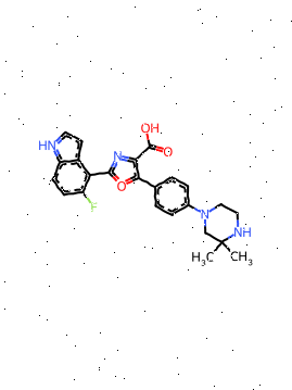 CC1(C)CN(c2ccc(-c3oc(-c4c(F)ccc5[nH]ccc45)nc3C(=O)O)cc2)CCN1